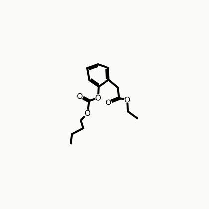 CCCCOC(=O)Oc1ccccc1CC(=O)OCC